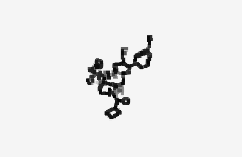 CS(=O)(=O)N[C@@H]1CCN(C(=O)C2CCC2)[C@@H]1Cc1ccc(F)c(-c2cccc(F)c2)c1